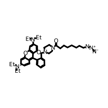 CCN(CC)c1ccc2c(-c3ccccc3C(=O)N3CCN(C(=O)CCCCCCCN=[N+]=[N-])CC3)c3ccc(=[N+](CC)CC)cc-3oc2c1